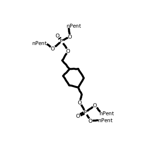 CCCCCOP(=O)(OCCCCC)OCC1CCC(COP(=O)(OCCCCC)OCCCCC)CC1